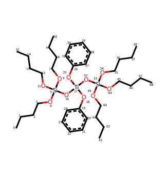 CCCCO[Si](OCCCC)(OCCCC)[O][Ti]([O]c1ccccc1)([O]c1ccccc1)[O][Si](OCCCC)(OCCCC)OCCCC